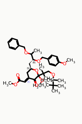 COC(=O)/C=C1\C[C@@H](C[C@@H](OCc2ccc(OC)cc2)C(C)OCc2ccccc2)OC(OC)(C(C)(C)CO[Si](C)(C)C(C)(C)C)C1=O